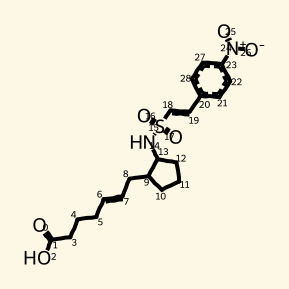 O=C(O)CCC/C=C/CC1CCCC1NS(=O)(=O)/C=C/c1ccc([N+](=O)[O-])cc1